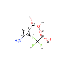 COC(=O)C12CC(N)(C1)C2.O=C(O)C(F)(F)F